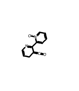 O=C=C1CC=CN=C1c1cccc[n+]1[O-]